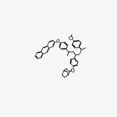 COc1ccc(C(C)CC(CC(C)c2ccc(Oc3ccc4cc5ccccc5cc4c3)cc2)c2ccc(OC3CC4CCC3C4)cc2)cc1